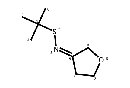 CC(C)(C)S/N=C1/CCOC1